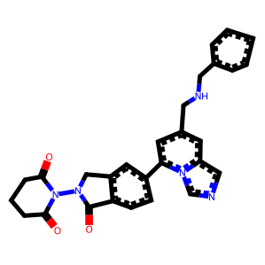 O=C1c2ccc(-c3cc(CNCc4ccccc4)cc4cncn34)cc2CN1N1C(=O)CCCC1=O